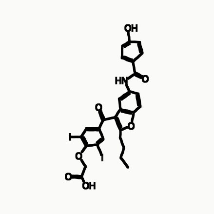 CCCCc1oc2ccc(NC(=O)c3ccc(O)cc3)cc2c1C(=O)c1cc(I)c(OCC(=O)O)c(I)c1